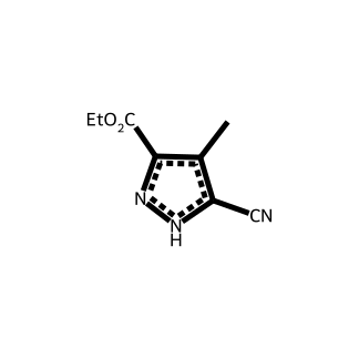 CCOC(=O)c1n[nH]c(C#N)c1C